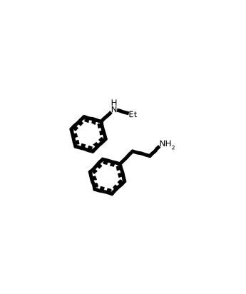 CCNc1ccccc1.NCCc1ccccc1